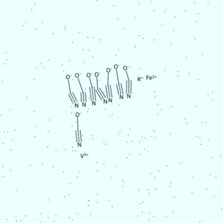 N#C[O-].N#C[O-].N#C[O-].N#C[O-].N#C[O-].N#C[O-].N#C[O-].N#C[O-].[Fe+2].[K+].[V+5]